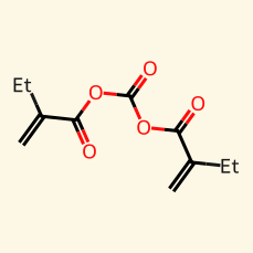 C=C(CC)C(=O)OC(=O)OC(=O)C(=C)CC